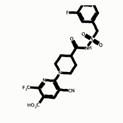 N#Cc1cc(C(=O)O)c(C(F)(F)F)nc1N1CCC(C(=O)NS(=O)(=O)Cc2cccc(F)c2)CC1